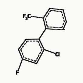 Fc1ccc(-c2[c]cccc2C(F)(F)F)c(Cl)c1